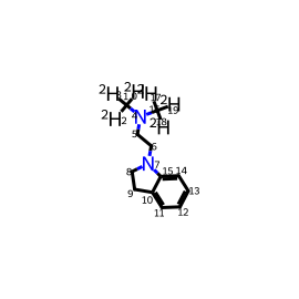 [2H]C([2H])([2H])N(CCN1CCc2ccccc21)C([2H])([2H])[2H]